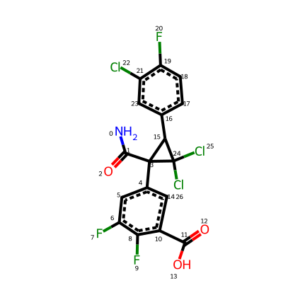 NC(=O)C1(c2cc(F)c(F)c(C(=O)O)c2)C(c2ccc(F)c(Cl)c2)C1(Cl)Cl